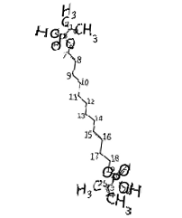 CC(C)P(=O)(O)OCCCCCCCCCCCCOP(=O)(O)C(C)C